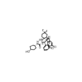 O=C(N[C@H]1CC[C@H](O)CC1)[C@@H]1NC2(CCC(F)(F)CC2)[C@@]2(C(=O)Nc3cc(Cl)ccc32)[C@H]1c1cccc(Cl)c1F